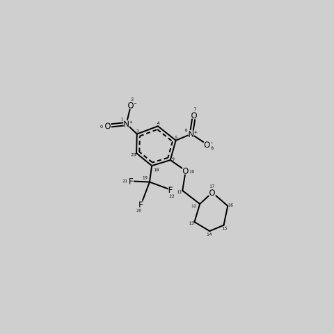 O=[N+]([O-])c1cc([N+](=O)[O-])c(OCC2CCCCO2)c(C(F)(F)F)c1